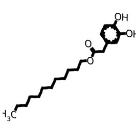 CCCCCCCCCCCCOC(=O)Cc1ccc(O)c(O)c1